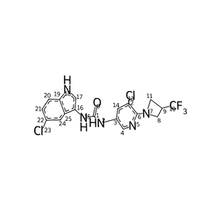 O=C(Nc1cnc(N2CC(C(F)(F)F)C2)c(Cl)c1)Nc1c[nH]c2ccc(Cl)cc12